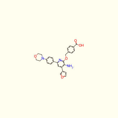 Nc1c(-c2ccoc2)cc(-c2ccc(N3CCOCC3)cc2)nc1OCc1ccc(C(=O)O)cc1